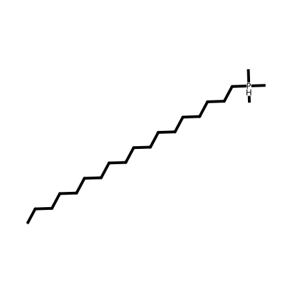 CCCCCCCCCCCCCCCCCC[PH](C)(C)C